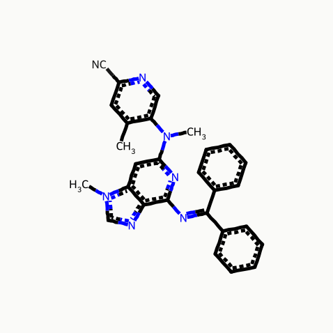 Cc1cc(C#N)ncc1N(C)c1cc2c(ncn2C)c(N=C(c2ccccc2)c2ccccc2)n1